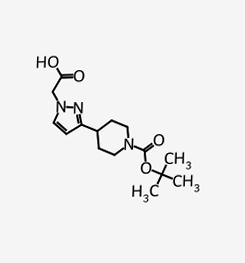 CC(C)(C)OC(=O)N1CCC(c2ccn(CC(=O)O)n2)CC1